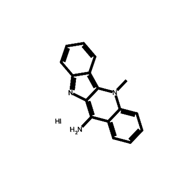 Cn1c2c3ccccc3nc-2c(N)c2ccccc21.I